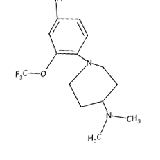 CC(C)c1ccc(N2CCC(N(C)C)CC2)c(OC(F)(F)F)c1